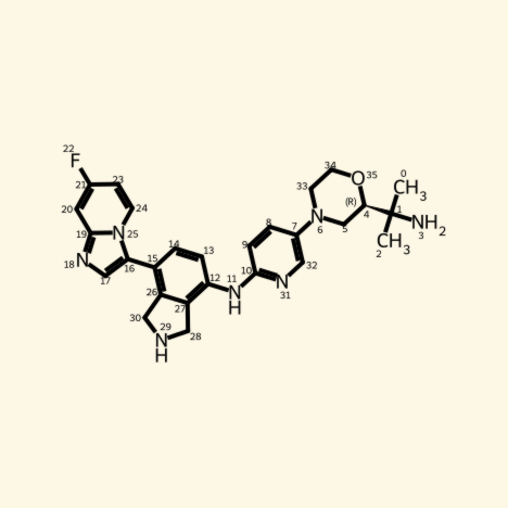 CC(C)(N)[C@H]1CN(c2ccc(Nc3ccc(-c4cnc5cc(F)ccn45)c4c3CNC4)nc2)CCO1